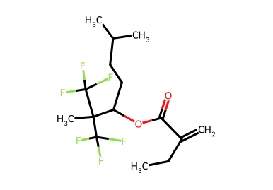 C=C(CC)C(=O)OC(CCC(C)C)C(C)(C(F)(F)F)C(F)(F)F